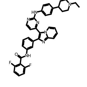 CCN1CCC(c2ccc(Nc3nccc(-c4c(-c5cccc(NC(=O)c6c(F)cccc6F)c5)nc5ccccn45)n3)cc2)CC1